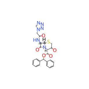 O=C(Cn1cnnn1)N[C@@H]1C(=O)N2[C@@H](C(=O)OC(c3ccccc3)c3ccccc3)C(=O)CS[C@@H]12